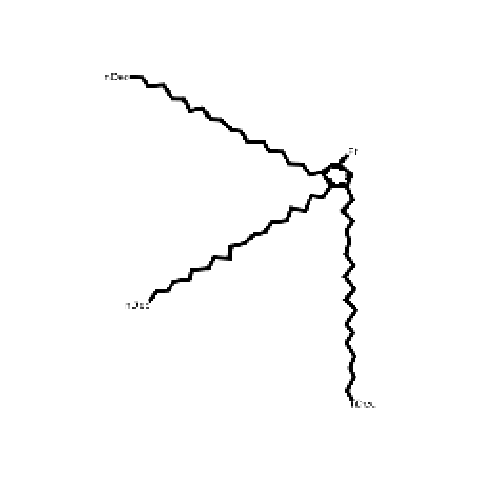 [CH2]Cc1cc(CCCCCCCCCCCCCCCCCCCCCCCCCCCC)c(CCCCCCCCCCCCCCCCCCCCCCCCCCCC)c(CCCCCCCCCCCCCCCCCCCCCCCCCCCC)c1